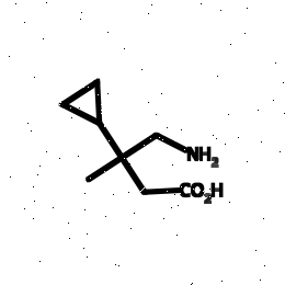 CC(CN)(CC(=O)O)C1CC1